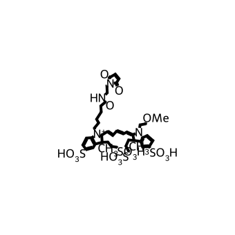 COCCN1/C(=C/C=C/C=C/C2=[N+](CCCCCC(=O)NCCN3C(=O)C=CC3=O)c3ccc(S(=O)(=O)O)cc3C2(C)CCCS(=O)(=O)O)C(C)(CCCS(=O)(=O)O)c2cc(S(=O)(=O)O)ccc21